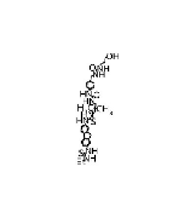 CCNC(=S)Nc1ccc2c(c1)Cc1cc(NC(=S)NCC(C)(C)CNC(=O)Nc3ccc(CNC(=O)NCCCO)cc3)ccc1-2